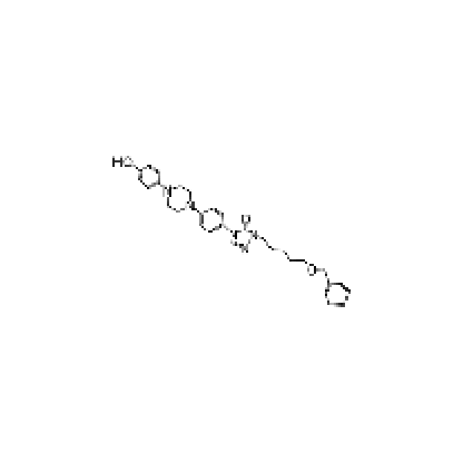 O=c1n(-c2ccc(N3CCN(c4ccc(O)cc4)CC3)cc2)cnn1CCCCCOCc1ccccc1